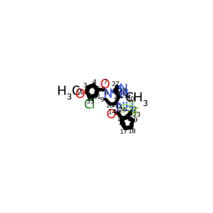 COc1ccc(C(=O)N2CCC(NC(=O)c3ccccc3C(F)(F)F)c3c2cnn3C)cc1Cl